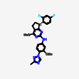 CNc1nc(Nc2ccc(-n3cnc(C)n3)c(OC)c2)nc2c1CC[C@@H]2c1ccc(F)cc1F